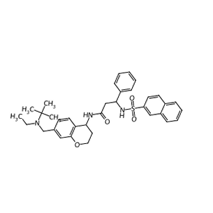 CCN(Cc1ccc2c(c1)OCCC2NC(=O)CC(NS(=O)(=O)c1ccc2ccccc2c1)c1ccccc1)C(C)(C)C